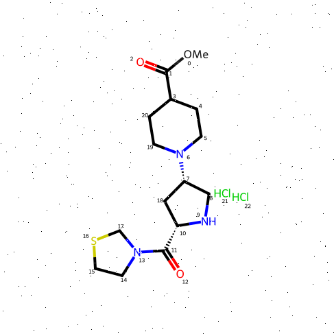 COC(=O)C1CCN([C@@H]2CN[C@H](C(=O)N3CCSC3)C2)CC1.Cl.Cl